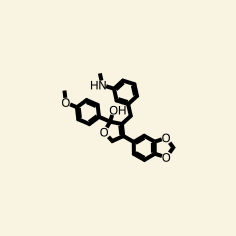 CNc1cccc(CC2=C(c3ccc4c(c3)OCO4)COC2(O)c2ccc(OC)cc2)c1